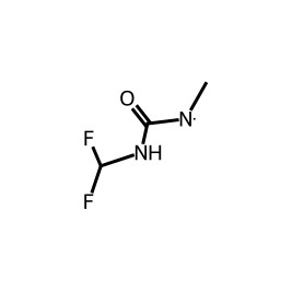 C[N]C(=O)NC(F)F